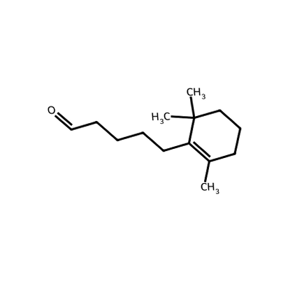 CC1=C(CCCCC=O)C(C)(C)CCC1